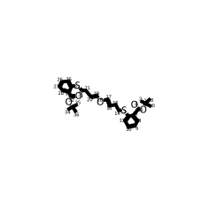 CC(C)(C)OC(=O)c1ccccc1SCCC=COC=CCCSc1ccccc1C(=O)OC(C)(C)C